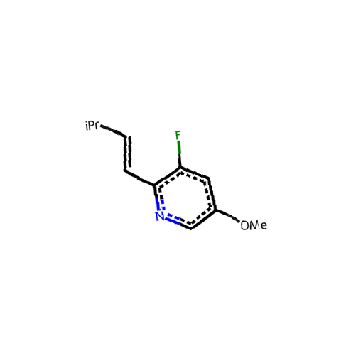 COc1cnc(/C=C/C(C)C)c(F)c1